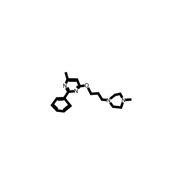 Cc1cc(OCCCN2CCN(C)CC2)nc(-c2ccccc2)n1